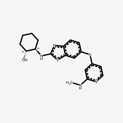 CNc1cc(Oc2ccc3nc(N[C@@H]4CCCC[C@H]4O)sc3c2)ccn1